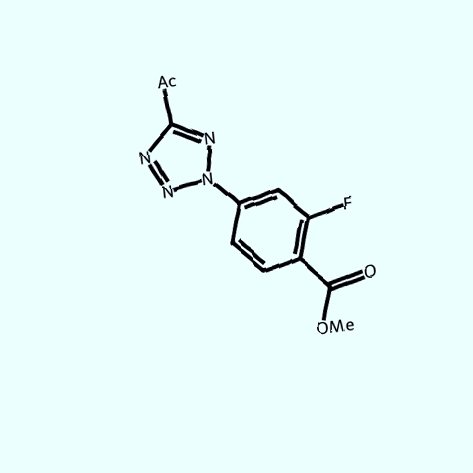 COC(=O)c1ccc(-n2nnc(C(C)=O)n2)cc1F